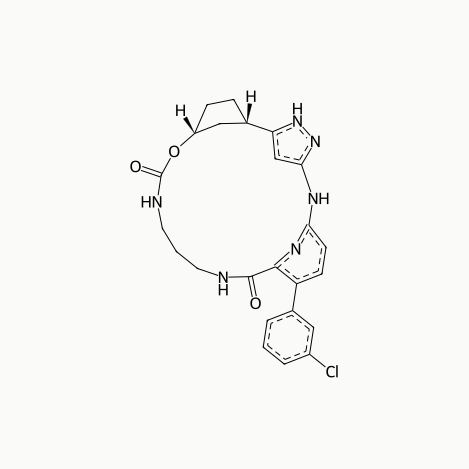 O=C1NCCCNC(=O)c2nc(ccc2-c2cccc(Cl)c2)Nc2cc([nH]n2)[C@H]2CC[C@H](C2)O1